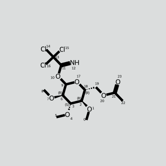 CO[C@H]1[C@H](OC)[C@@H](OC)C(OC(=N)C(Cl)(Cl)Cl)O[C@@H]1COC(C)=O